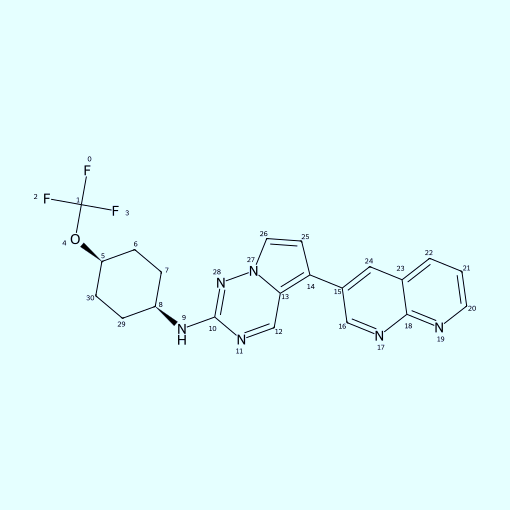 FC(F)(F)O[C@H]1CC[C@@H](Nc2ncc3c(-c4cnc5ncccc5c4)ccn3n2)CC1